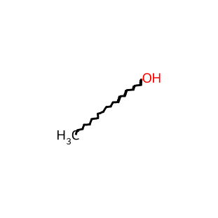 CCCCCCCCCCCCC=CC=CC=CC=CO